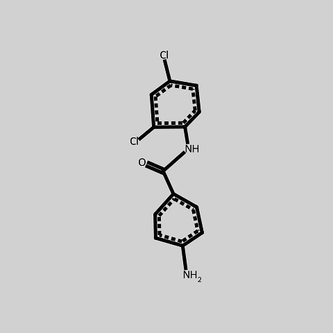 Nc1ccc(C(=O)Nc2ccc(Cl)cc2Cl)cc1